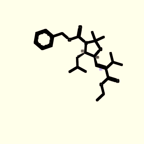 CCOC(=O)/C(=C/[C@@H]1OC(C)(C)N(C(=O)OCc2ccccc2)[C@H]1CC(C)C)C(C)C